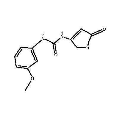 COc1cccc(NC(=O)NC2=CC(=O)SC2)c1